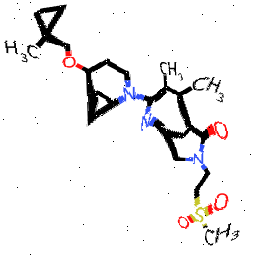 Cc1c(N2CCC(OCC3(C)CC3)C3CC32)nc2c(c1C)C(=O)N(CCS(C)(=O)=O)C2